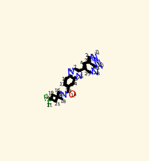 Cn1cc2cc(-c3cnc4ccc(C(=O)N5CC6(C5)CC(F)(F)C6)cc4n3)cnc2n1